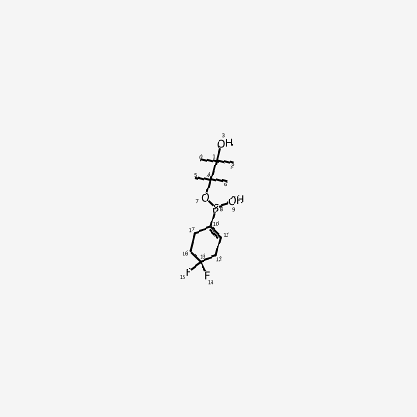 CC(C)(O)C(C)(C)OB(O)C1=CCC(F)(F)CC1